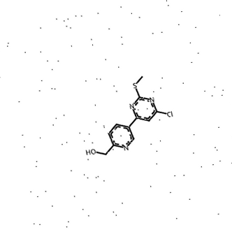 CSc1nc(Cl)cc(-c2ccc(CO)nc2)n1